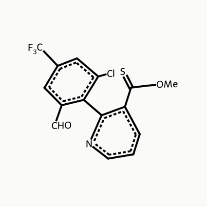 COC(=S)c1cccnc1-c1c(Cl)cc(C(F)(F)F)cc1C=O